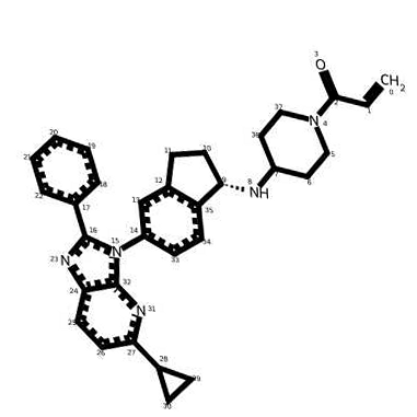 C=CC(=O)N1CCC(N[C@H]2CCc3cc(-n4c(-c5ccccc5)nc5ccc(C6CC6)nc54)ccc32)CC1